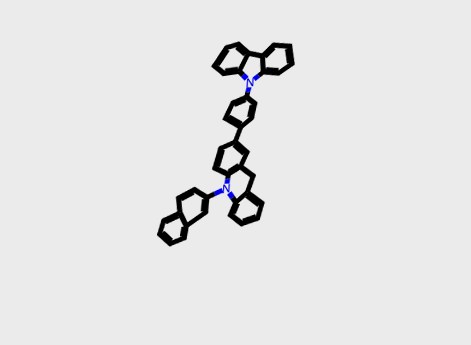 c1ccc2c(c1)Cc1cc(-c3ccc(-n4c5ccccc5c5ccccc54)cc3)ccc1N2c1ccc2ccccc2c1